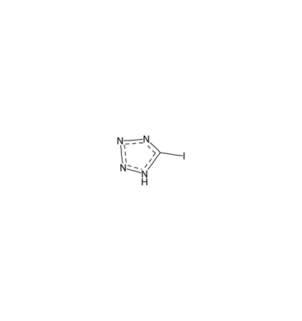 Ic1nnn[nH]1